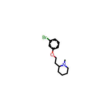 CN1CCCCC1CCOc1cccc(Br)c1